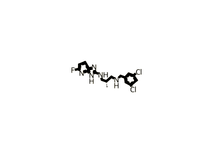 C[C@@H](CNCc1cc(Cl)cc(Cl)c1)CNc1nc2ccc(F)nc2[nH]1